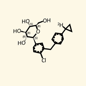 [2H]C1(c2ccc(Cc3cc([C@@H]4O[C@H](CO)[C@@H](O)[C@H](O)[C@H]4O)ccc3Cl)cc2)CC1